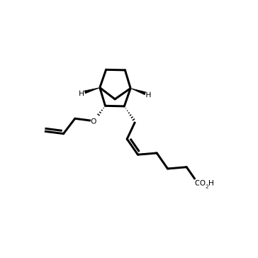 C=CCO[C@@H]1[C@@H]2CC[C@@H](C2)[C@@H]1C/C=C\CCCC(=O)O